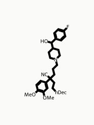 CCCCCCCCCCCCC(C#N)(CCCN1CCC(C(O)c2ccc(F)cc2)CC1)c1ccc(OC)c(OC)c1